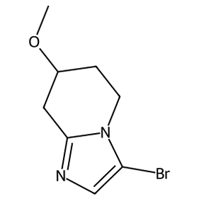 COC1CCn2c(Br)cnc2C1